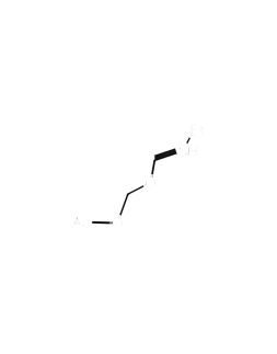 CC[SH]=COCOC(C)=O